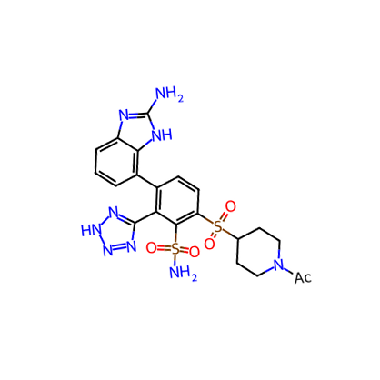 CC(=O)N1CCC(S(=O)(=O)c2ccc(-c3cccc4nc(N)[nH]c34)c(-c3nn[nH]n3)c2S(N)(=O)=O)CC1